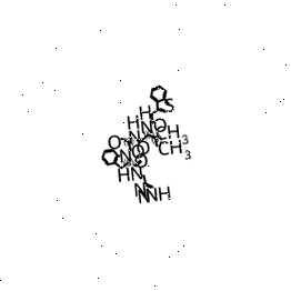 CC[C@H](C)[C@H](NC(=O)Cc1csc2ccccc12)C(=O)N[C@H]1COc2cccc3c2N(C1=O)[C@H](C(=O)NCc1c[nH]nn1)C3